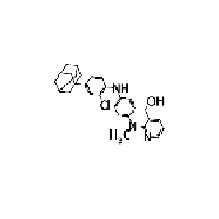 CN(c1ccc(Nc2ccc(C34CC5CC(CC(C5)C3)C4)cc2Cl)cc1)c1ncccc1CO